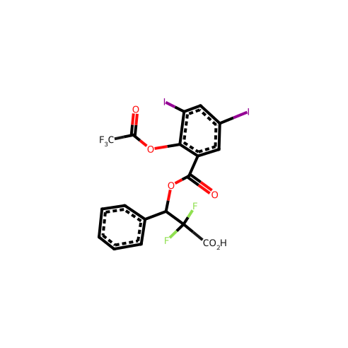 O=C(OC(c1ccccc1)C(F)(F)C(=O)O)c1cc(I)cc(I)c1OC(=O)C(F)(F)F